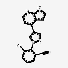 N#Cc1cccc(Cl)c1-n1cc(-c2ccnc3[nH]ccc23)cn1